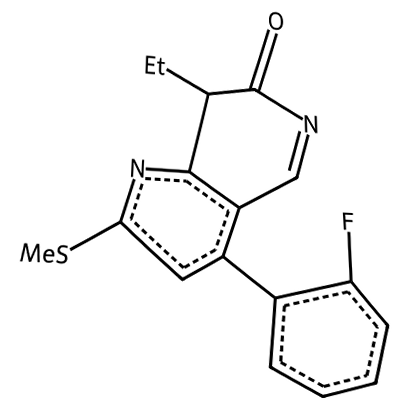 CCC1C(=O)N=Cc2c(-c3ccccc3F)cc(SC)nc21